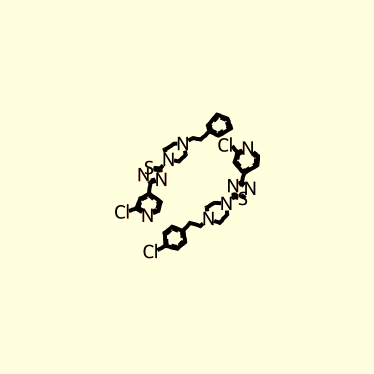 Clc1cc(-c2nsc(N3CCN(CCc4ccccc4)CC3)n2)ccn1.Clc1ccc(CCN2CCN(c3nc(-c4ccnc(Cl)c4)ns3)CC2)cc1